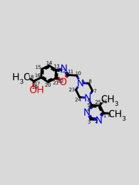 Cc1ncnc(N2CCN(Cc3nc4ccc(C(C)O)cc4o3)CC2)c1C